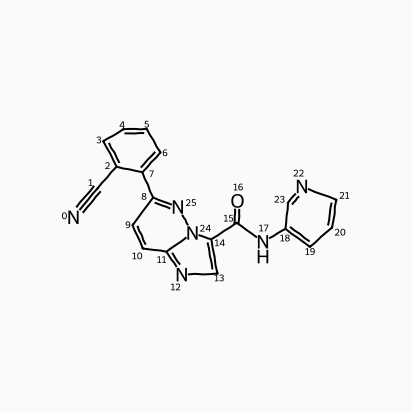 N#Cc1ccccc1-c1ccc2ncc(C(=O)Nc3cccnc3)n2n1